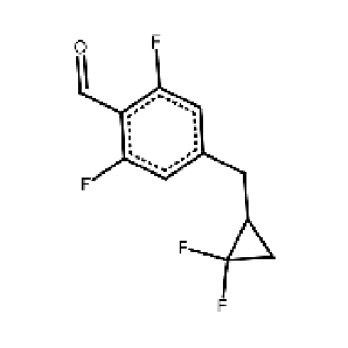 O=Cc1c(F)cc(CC2CC2(F)F)cc1F